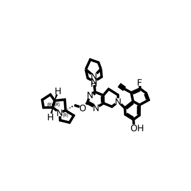 C#Cc1c(F)ccc2cc(O)cc(N3CCc4c(nc(OC[C@]56CCCN5[C@@H]5CCC[C@@H]5C6)nc4N4CC5CCC(C4)N5)C3)c12